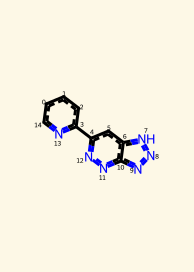 c1ccc(-c2cc3[nH]nnc3nn2)nc1